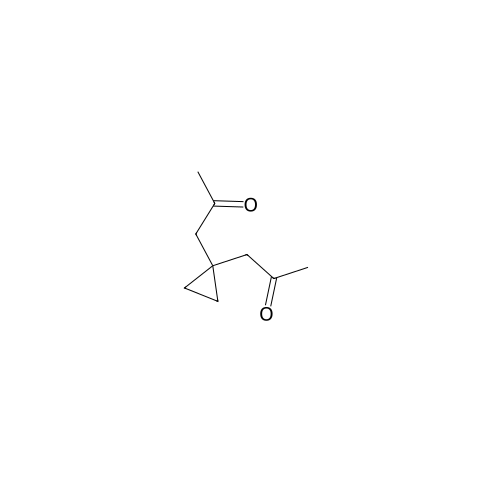 CC(=O)CC1(CC(C)=O)CC1